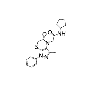 Cc1nn(-c2ccccc2)c2c1N(CC(=O)NC1CCCC1)C(=O)CS2